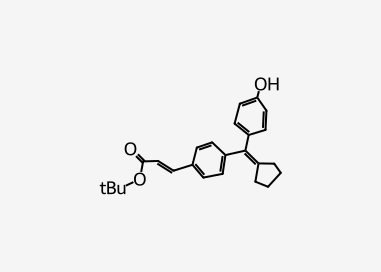 CC(C)(C)OC(=O)C=Cc1ccc(C(=C2CCCC2)c2ccc(O)cc2)cc1